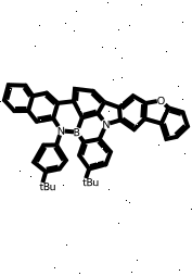 CC(C)(C)c1ccc(N2B3c4cc(C(C)(C)C)ccc4-n4c5cc6c(cc5c5ccc(c3c54)-c3cc4ccccc4cc32)oc2ccccc26)cc1